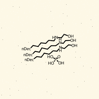 CCCCCCCCCCCCCCCCNCCO.CCCCCCCCCCCCCCCCNCCO.CCCCCCCCCCCCCCCCNCCO.O=P(O)(O)O